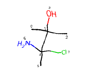 CC(C)(O)C(C)(N)Cl